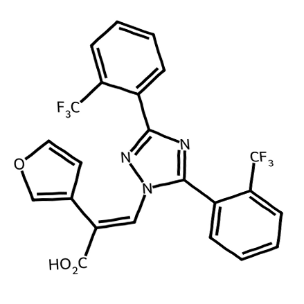 O=C(O)/C(=C/n1nc(-c2ccccc2C(F)(F)F)nc1-c1ccccc1C(F)(F)F)c1ccoc1